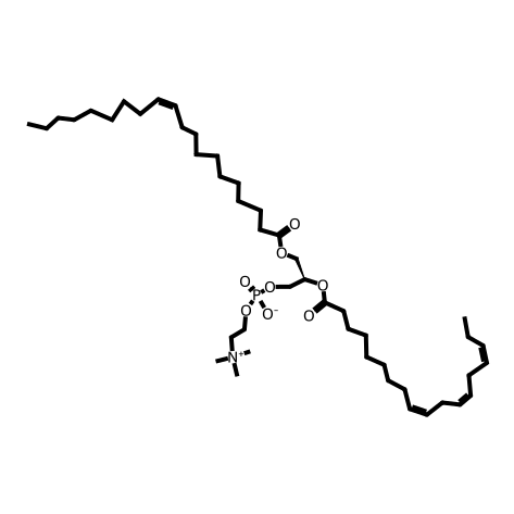 CC/C=C\C/C=C\C/C=C\CCCCCCCC(=O)O[C@H](COC(=O)CCCCCCCCC/C=C\CCCCCCCC)COP(=O)([O-])OCC[N+](C)(C)C